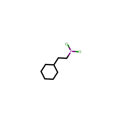 ClP(Cl)CCC1CCCCC1